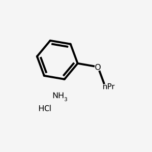 CCCOc1ccccc1.Cl.N